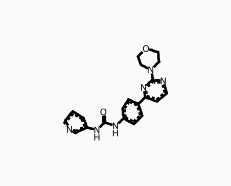 O=C(Nc1ccc(-c2ccnc(N3CCOCC3)n2)cc1)Nc1cccnc1